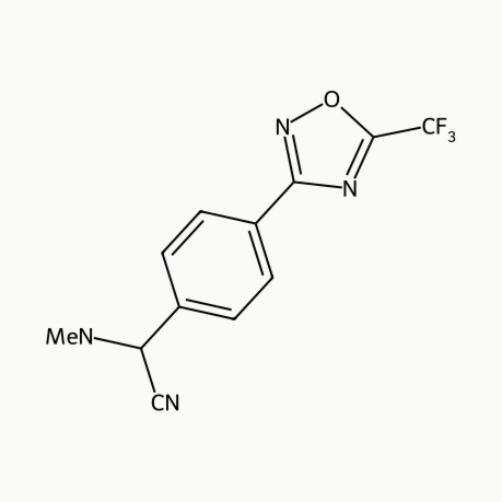 CNC(C#N)c1ccc(-c2noc(C(F)(F)F)n2)cc1